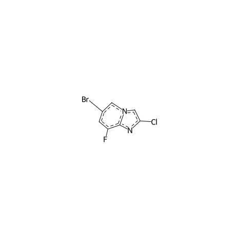 Fc1cc(Br)cn2cc(Cl)nc12